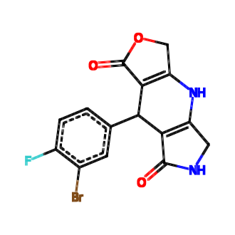 O=C1NCC2=C1C(c1ccc(F)c(Br)c1)C1=C(COC1=O)N2